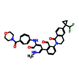 CN/C=C(\C=C(/C=O)NC1=CC=C(C(=O)N2CCOCC2)C=C=C1)c1cccc(N2CCc3cc(C4(C(F)F)CC4)ccc3C2=O)c1C=O